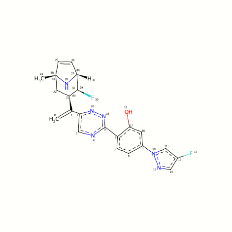 C=C(c1cnc(-c2ccc(-n3cc(F)cn3)cc2O)nn1)[C@H]1C[C@]2(C)C=C[C@@H](N2)[C@H]1F